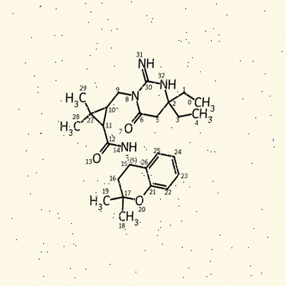 CCC1(CC)CC(=O)N(CC2C(C(=O)N[C@H]3CC(C)(C)Oc4ccccc43)C2(C)C)C(=N)N1